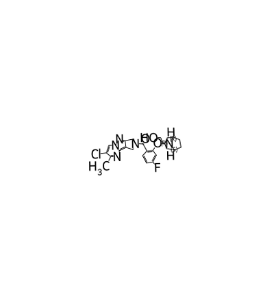 Cc1nc2c3c(nn2cc1Cl)CN(C(=O)c1ccc(F)cc1O[C@H]1C[C@H]2CC[C@@H](C1)N2CCO)C3